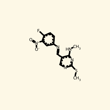 CNc1nc(SC)ncc1/C=N/c1ccc(F)c([N+](=O)[O-])c1